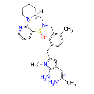 C/C(N)=C/c1cc(Cc2ccc(C)c(CN3C[C@@H]4CCCCN4c4ncccc4[S+]3[O-])c2)n(C)c1N